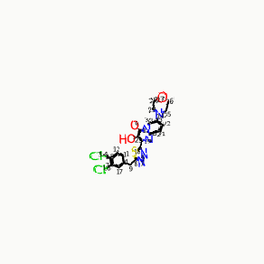 O=c1c(O)c(-c2nnc(Cc3ccc(Cl)c(Cl)c3)s2)nc2ccc(N3CCOCC3)cn12